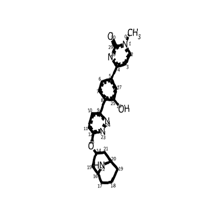 Cn1ccc(-c2ccc(-c3ccc(OC4CC5CCCC(C4)N5)nn3)c(O)c2)nc1=O